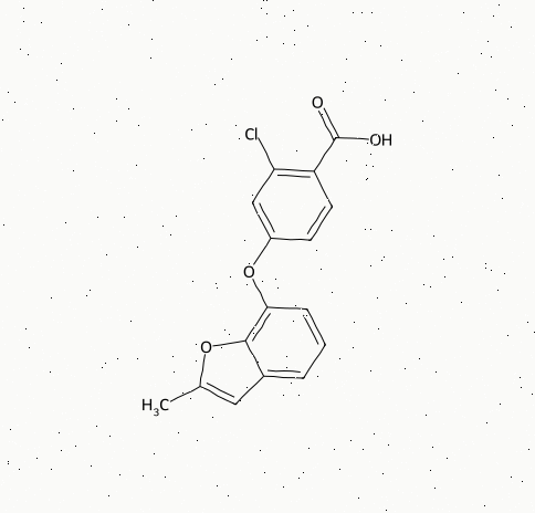 Cc1cc2cccc(Oc3ccc(C(=O)O)c(Cl)c3)c2o1